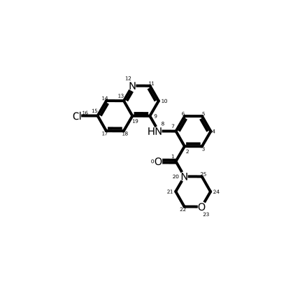 O=C(c1ccccc1Nc1ccnc2cc(Cl)ccc12)N1CCOCC1